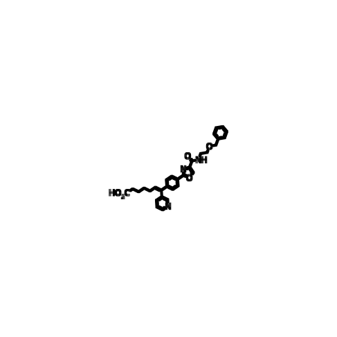 O=C(O)CCCCC=C(c1ccc(-c2nc(C(=O)NCCOCc3ccccc3)co2)cc1)c1cccnc1